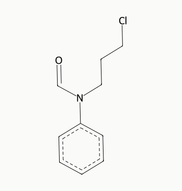 O=CN(CCCCl)c1ccccc1